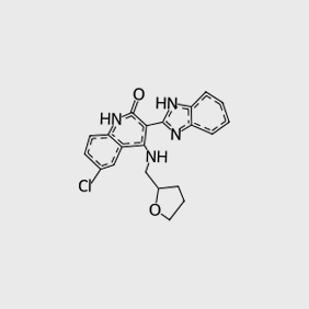 O=c1[nH]c2ccc(Cl)cc2c(NCC2CCCO2)c1-c1nc2ccccc2[nH]1